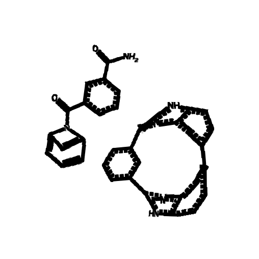 NC(=O)c1cccc(C(=O)N2C3=CC=CC2=C3)c1.c1cc2cc(c1)-c1nc3cc(ccc3[nH]1)-c1ccc3[nH]c-2nc3c1